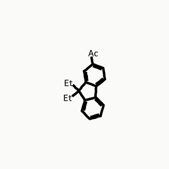 CCC1(CC)c2ccccc2-c2ccc(C(C)=O)cc21